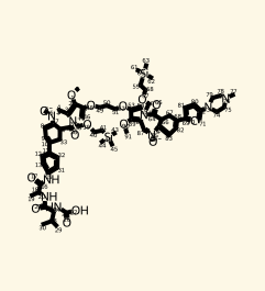 COC1=C2C=[N+]([O-])C3=CC=C(c4ccc(NC(=O)C(C)NC(=O)C(NC(=O)O)C(C)C)cc4)CC3C(=O)[N+]2(COCC[Si](C)(C)C)C=C1OCCCOC1=C[N+]2(COCC[Si](C)(C)C)C(=O)C3CC(c4ccc(N5CCN(C)CC5)cc4)=CC=C3[N+]([O-])=CC2=C1OC